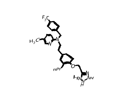 CCCc1cc(CCN(Cc2ccc(C(F)(F)F)cc2)c2ccc(C)cn2)ccc1OCC1=NNNN1